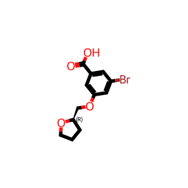 O=C(O)c1cc(Br)cc(OC[C@H]2CCCO2)c1